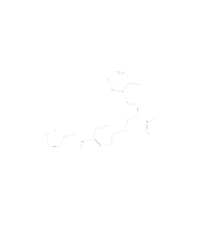 NC(=O)c1nc(-c2c(F)cccc2F)oc1Nc1ccc(C(=O)NC2CCNC2)cc1